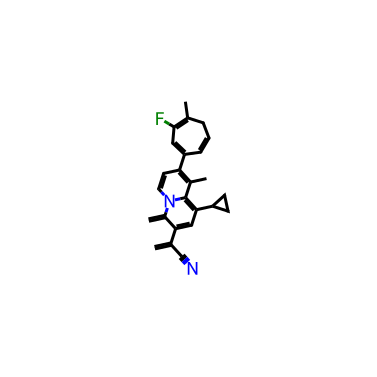 C=C(C#N)C1=CC(C2CC2)=C2C(C)=C(C3=CC(F)=C(C)CC=C3)C=CN2C1=C